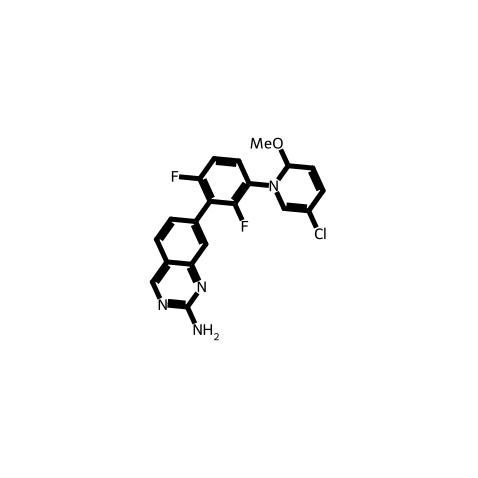 COC1C=CC(Cl)=CN1c1ccc(F)c(-c2ccc3cnc(N)nc3c2)c1F